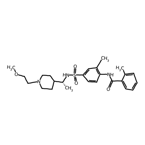 COCCN1CCC([C@@H](C)NS(=O)(=O)c2ccc(NC(=O)c3ccccc3C)c(C)c2)CC1